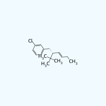 CC/C=C/[C@@H](Cc1cccc(Cl)c1)C(C)(C)C